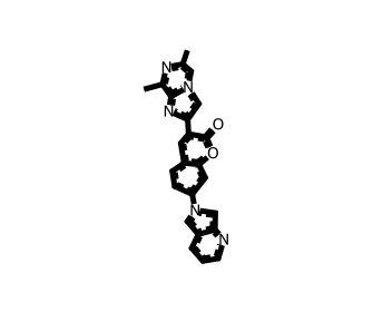 Cc1cn2cc(-c3cc4ccc(-n5cc6cccnc6c5)cc4oc3=O)nc2c(C)n1